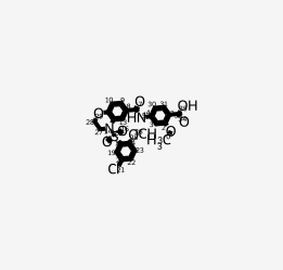 COc1cc(NC(=O)c2ccc3c(c2)N(S(=O)(=O)c2cc(Cl)ccc2OC)CCO3)ccc1C(=O)O